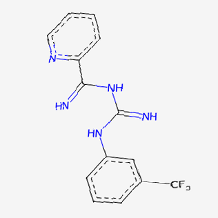 N=C(NC(=N)c1ccccn1)Nc1cccc(C(F)(F)F)c1